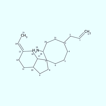 C=CCC1CCCC2(CCC3CC/C(=C/C)CC32)C(N)CC1